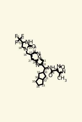 Cc1nonc1C(=O)NC(c1cn2ncc(CN3CC(C(F)(F)F)NC3=O)cc2n1)C1CC2CCCC2C1